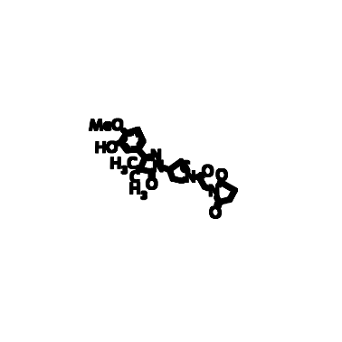 COc1ccc(C2=NN(C3CCN(C(=O)CN4C(=O)CCC4=O)CC3)C(=O)C2(C)C)cc1O